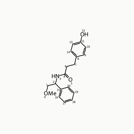 COCC(NC(=O)CCc1ccc(O)cc1)c1ccccc1